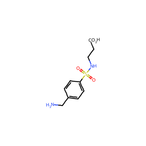 NCc1ccc(S(=O)(=O)NCCC(=O)O)cc1